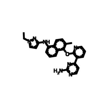 CCn1ccc(Nc2cccc3c(Oc4ncccc4-c4ccnc(N)n4)c(C)ccc23)n1